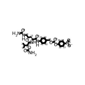 CC(C)[C@H](OC(N)=O)C(=O)N[C@@H](CCCNC(N)=O)C(=O)Nc1ccc(COC(=O)Oc2ccc([N+](=O)[O-])cc2)cc1